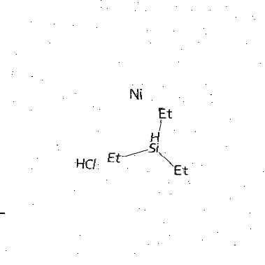 CC[SiH](CC)CC.Cl.[Ni]